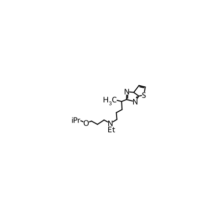 CCN(CCCOC(C)C)CCCC(C)C1=NC2C=CSC2=N1